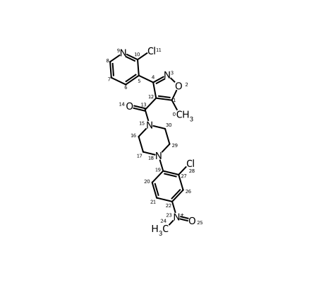 Cc1onc(-c2cccnc2Cl)c1C(=O)N1CCN(c2ccc([N+](C)=O)cc2Cl)CC1